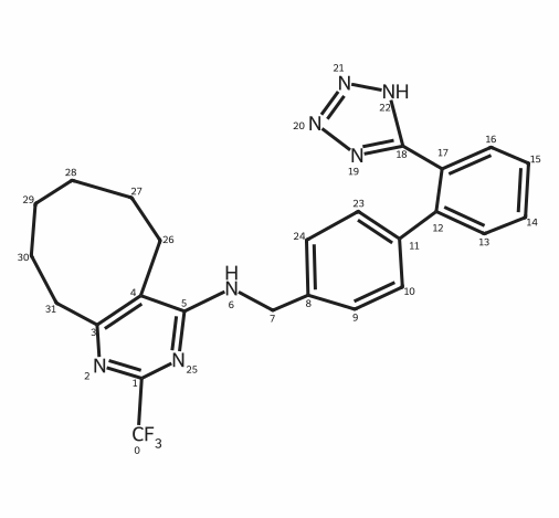 FC(F)(F)c1nc2c(c(NCc3ccc(-c4ccccc4-c4nnn[nH]4)cc3)n1)CCCCCC2